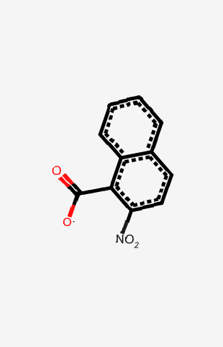 [O]C(=O)c1c([N+](=O)[O-])ccc2ccccc12